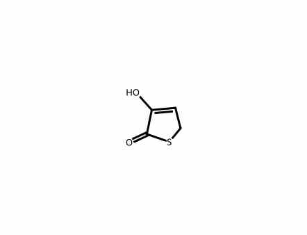 O=C1SCC=C1O